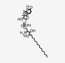 CCCCCCCCCCCCCC[C@@H](O)[C@@H](O)[C@@H](N)COP(=O)(O)OC[C@H]1O[C@@H](n2ccc(=O)[nH]c2=S)C(C)(O)[C@H]1O